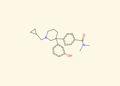 CN(C)C(=O)c1ccc(C2(c3cccc(O)c3)CCCN(CC3CC3)C2)cc1